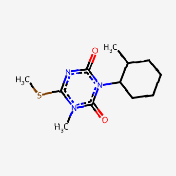 CSc1nc(=O)n(C2CCCCC2C)c(=O)n1C